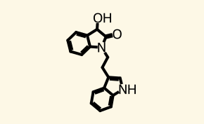 O=C1C(O)c2ccccc2N1CCc1c[nH]c2ccccc12